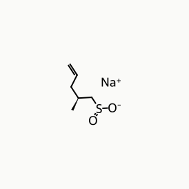 C=CC[C@H](C)CS(=O)[O-].[Na+]